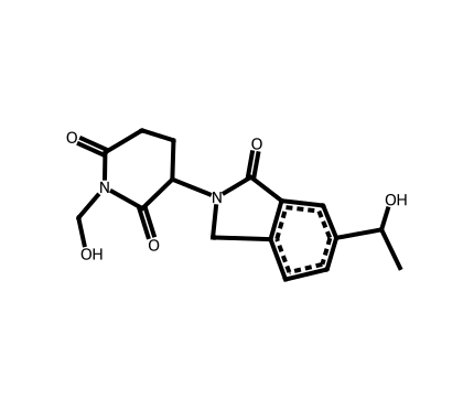 CC(O)c1ccc2c(c1)C(=O)N(C1CCC(=O)N(CO)C1=O)C2